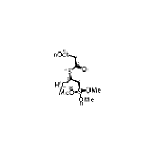 CCCCCCCCCC(=O)SC(C)C[Si](OC)(OC)OC